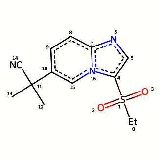 CCS(=O)(=O)c1cnc2ccc(C(C)(C)C#N)cn12